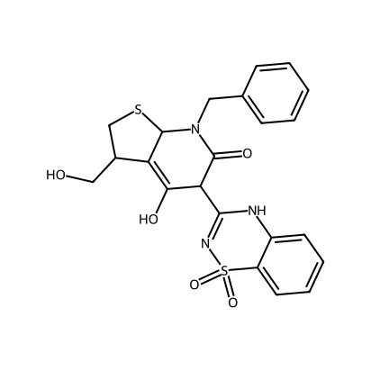 O=C1C(C2=NS(=O)(=O)c3ccccc3N2)C(O)=C2C(CO)CSC2N1Cc1ccccc1